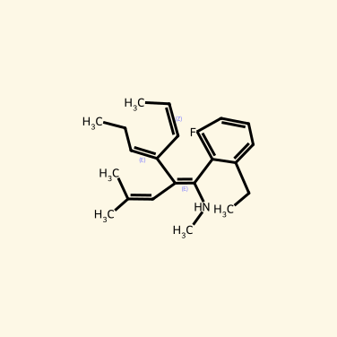 C\C=C/C(=C\CC)C(/C=C(C)C)=C(/NC)c1c(F)cccc1CC